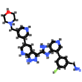 NCc1cc(F)cc(-c2cncc3[nH]c(-c4n[nH]c5ncc(-c6cncc(CN7CCOCC7)c6)cc45)nc23)c1